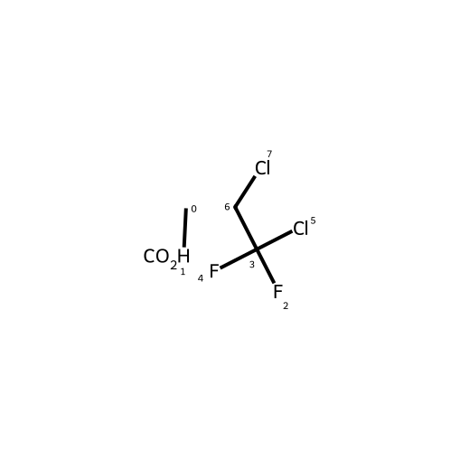 CC(=O)O.FC(F)(Cl)CCl